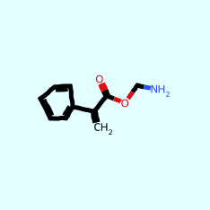 C=C(C(=O)OCN)c1ccccc1